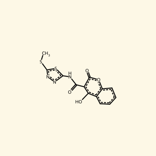 CSc1nnc(NC(=O)c2c(O)c3ccccc3oc2=O)s1